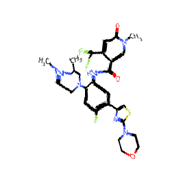 CC1CN(c2cc(F)c(-c3csc(N4CCOCC4)n3)cc2NC(=O)c2cn(C)c(=O)cc2C(F)F)CCN1C